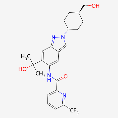 CC(C)(O)c1cc2nn([C@H]3CC[C@H](CO)CC3)cc2cc1NC(=O)c1cccc(C(F)(F)F)n1